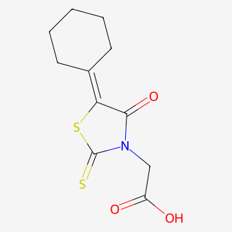 O=C(O)CN1C(=O)C(=C2CCCCC2)SC1=S